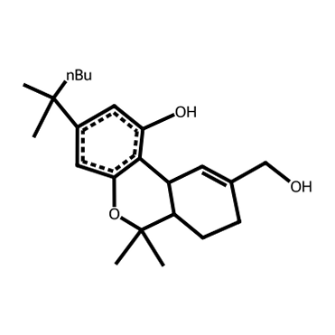 CCCCC(C)(C)c1cc(O)c2c(c1)OC(C)(C)C1CCC(CO)=CC21